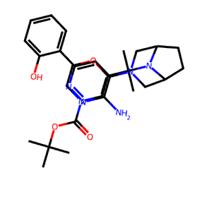 CC(C)(C)OC(=O)N1CCOC(C(C)(C)N2C3CCC2CN(c2cc(-c4ccccc4O)nnc2N)C3)C1